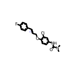 CN(C)C(=O)Nc1ccc(OC/C=C/c2ccc(F)cc2)c(Cl)c1